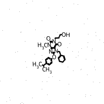 CC(C)c1ccc(Oc2nc3c(c(=O)n(CCCO)c(=O)n3C)n2CC2=CCCC=C2)cc1